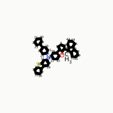 CC1(c2cccc3c2oc2ccc(N(c4ccc(-c5ccccc5)cc4)c4ccc5c(c4)sc4ccccc45)cc23)c2ccccc2-c2ccccc21